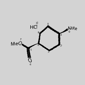 CN[C@H]1CC[C@@H](C(=O)OC)CC1.Cl